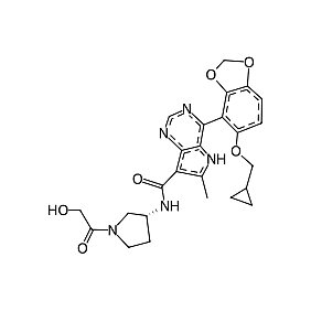 Cc1[nH]c2c(-c3c(OCC4CC4)ccc4c3OCO4)ncnc2c1C(=O)N[C@@H]1CCN(C(=O)CO)C1